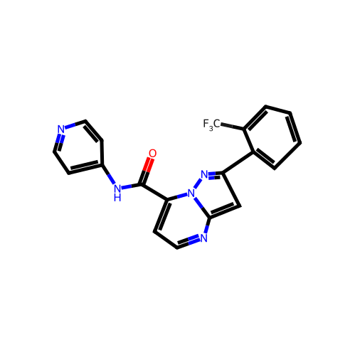 O=C(Nc1ccncc1)c1ccnc2cc(-c3ccccc3C(F)(F)F)nn12